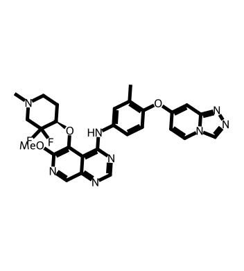 COc1ncc2ncnc(Nc3ccc(Oc4ccn5cnnc5c4)c(C)c3)c2c1O[C@@H]1CCN(C)CC1(F)F